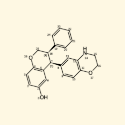 Oc1ccc2c(c1)[C@H](c1ccc3c(c1)NCCO3)[C@H](c1ccccc1)CO2